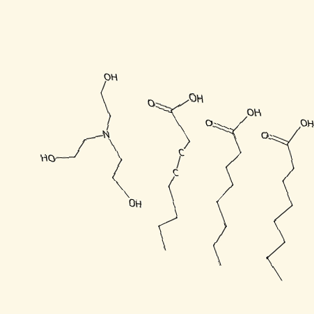 CCCCCCCC(=O)O.CCCCCCCC(=O)O.CCCCCCCC(=O)O.OCCN(CCO)CCO